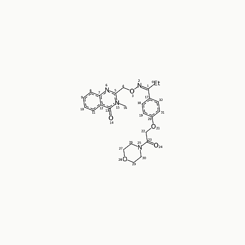 CCC(=NOCc1nc2ccccc2c(=O)n1C)c1ccc(OCC(=O)N2CCOCC2)cc1